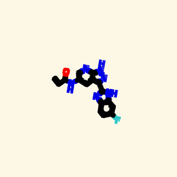 C=CC(=O)Nc1cnc2[nH]nc(-c3nc4ccc(F)cc4[nH]3)c2c1